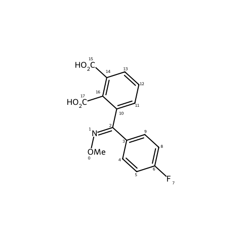 CO/N=C(\c1ccc(F)cc1)c1cccc(C(=O)O)c1C(=O)O